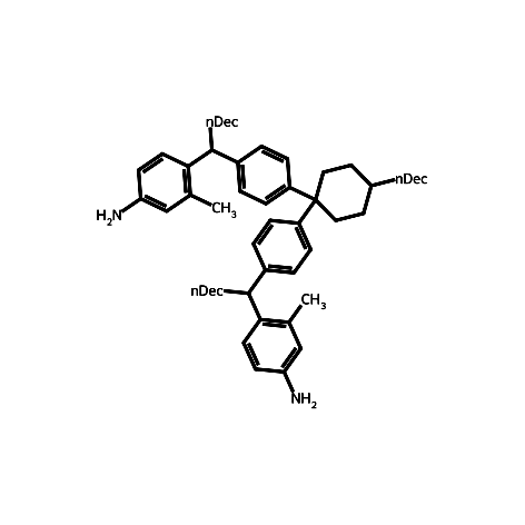 CCCCCCCCCCC1CCC(c2ccc(C(CCCCCCCCCC)c3ccc(N)cc3C)cc2)(c2ccc(C(CCCCCCCCCC)c3ccc(N)cc3C)cc2)CC1